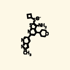 Cn1cc2cc(-c3cc(C4CCOCC4)c4c(N)c([S@+]([O-])C5CCC5)sc4n3)cnc2n1